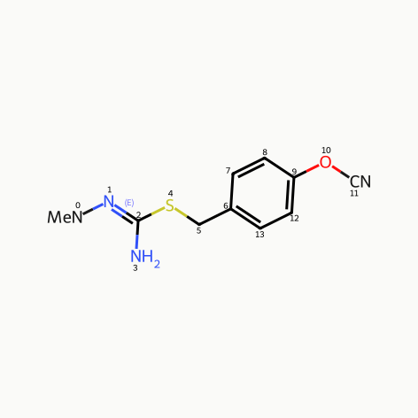 CN/N=C(\N)SCc1ccc(OC#N)cc1